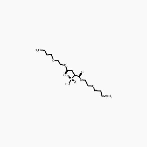 CCCCOCCOC(=O)CC(C(=O)OCCOCCCC)S(=O)(=O)O